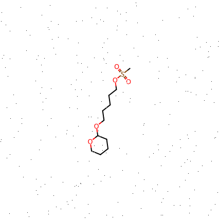 CS(=O)(=O)OCCCCCOC1CCCCO1